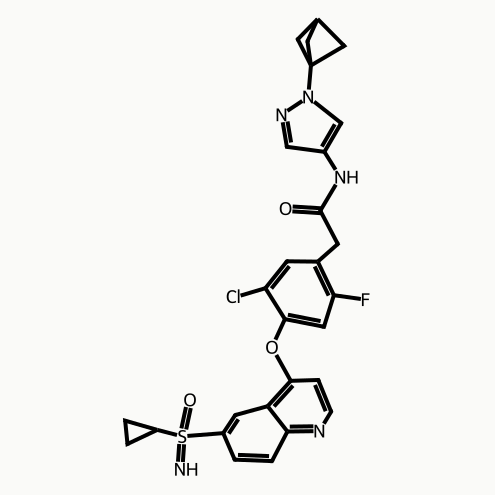 N=S(=O)(c1ccc2nccc(Oc3cc(F)c(CC(=O)Nc4cnn(C56CC(C5)C6)c4)cc3Cl)c2c1)C1CC1